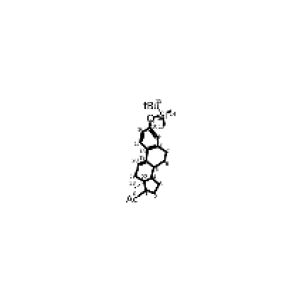 CC(=O)C1CCC2C3CCc4cc(O[Si](C)(C)C(C)(C)C)ccc4C3=CC[C@]12C